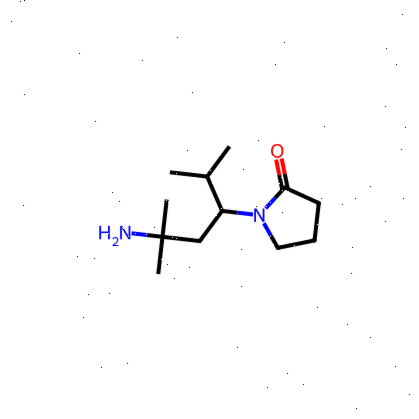 CC(C)C(CC(C)(C)N)N1CCCC1=O